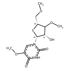 COC[C@H]1S[C@@H](n2cc(OC)c(=O)[nH]c2=O)[C@@H](O)C1OC